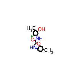 Cc1ccc2c(c1)OC(C(=O)Nc1cc(O)c(C)cc1F)CN2